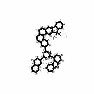 CC1(C)c2ccccc2-c2cc3ccc4ccc5cc(-c6nc(-c7ccc8ccccc8c7)nc(-c7cccc8sc9ccccc9c78)n6)ccc5c4c3cc21